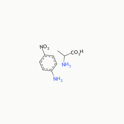 CC(N)C(=O)O.Nc1ccc([N+](=O)[O-])cc1